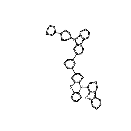 c1ccc(-c2ccc(-n3c4ccccc4c4ccc(-c5cccc(-c6ccc7c(c6)Sc6ccccc6N7c6cccc7c6oc6ccccc67)c5)cc43)cc2)cc1